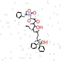 C=CC[C@@H](C[C@@H](C)CCC(C)(C)[Si](O)(c1ccccc1)c1ccccc1)[C@H](O)[C@@H](C)C(=O)[C@@H](C)C(=O)N1C(=O)OC[C@H]1Cc1ccccc1